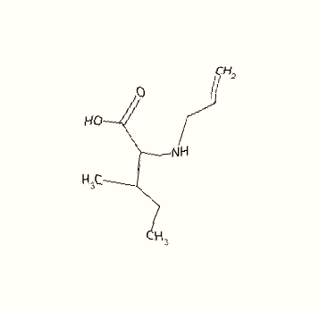 C=CCNC(C(=O)O)C(C)CC